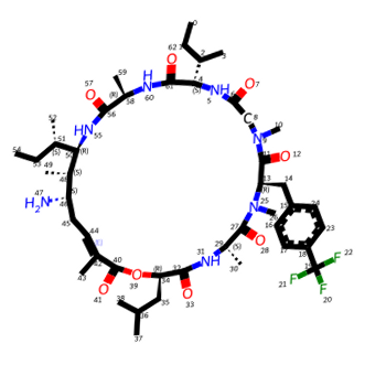 CCC(C)[C@@H]1NC(=O)CN(C)C(=O)[C@@H](Cc2ccc(C(F)(F)F)cc2)N(C)C(=O)[C@H](C)NC(=O)[C@@H](CC(C)C)OC(=O)/C(C)=C/C[C@H](N)[C@H](C)[C@@H]([C@@H](C)CC)NC(=O)[C@@H](C)NC1=O